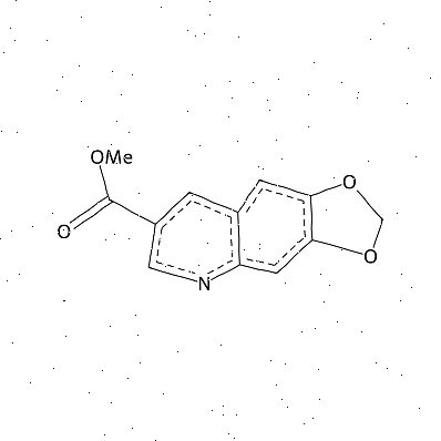 COC(=O)c1cnc2cc3c(cc2c1)OCO3